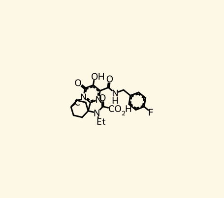 CCN(C(=O)C(=O)O)C12CCC(CC1)Cn1c2nc(C(=O)NCc2ccc(F)cc2)c(O)c1=O